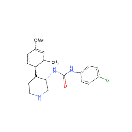 COC1=CC(C)[C@@H](C2CCNC[C@H]2NC(=O)Nc2ccc(Cl)cc2)C=C1